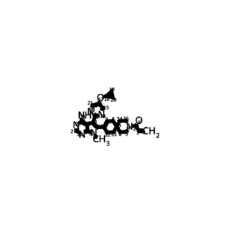 C=CC(=O)N1CCC2(CC=C(c3c(-c4ncc(OC5CC5)cn4)c4c(N)ncnc4n3C)CC2)CC1